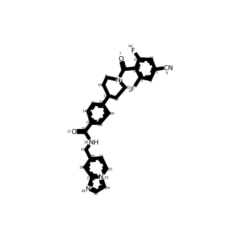 N#Cc1cc(F)c(C(=O)N2CCC(c3ccc(C(=O)NCc4ccn5ccnc5c4)cc3)CC2)c(F)c1